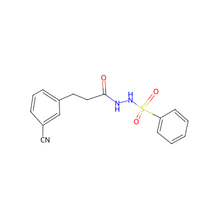 N#Cc1cccc(CCC(=O)NNS(=O)(=O)c2ccccc2)c1